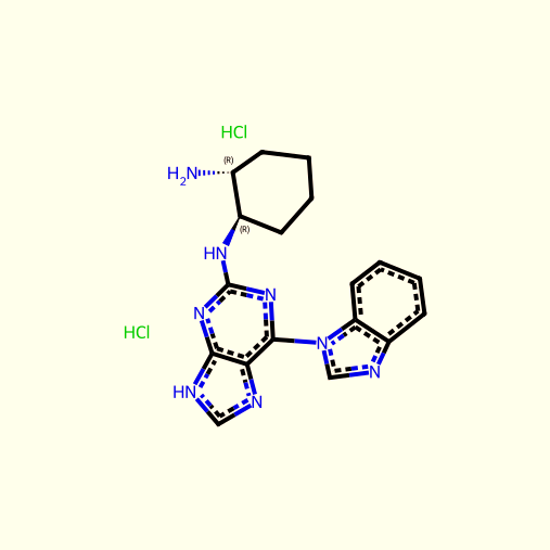 Cl.Cl.N[C@@H]1CCCC[C@H]1Nc1nc(-n2cnc3ccccc32)c2nc[nH]c2n1